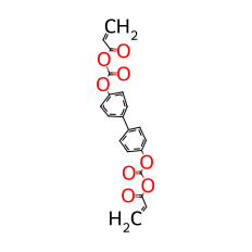 C=CC(=O)OC(=O)Oc1ccc(-c2ccc(OC(=O)OC(=O)C=C)cc2)cc1